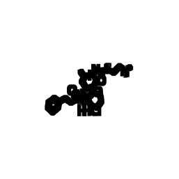 CC(C)CC(C(=O)c1nnc(SCCN(C)C)o1)N(C=O)C1(NC(=O)CCc2ccccc2)CCCCC1.Cl